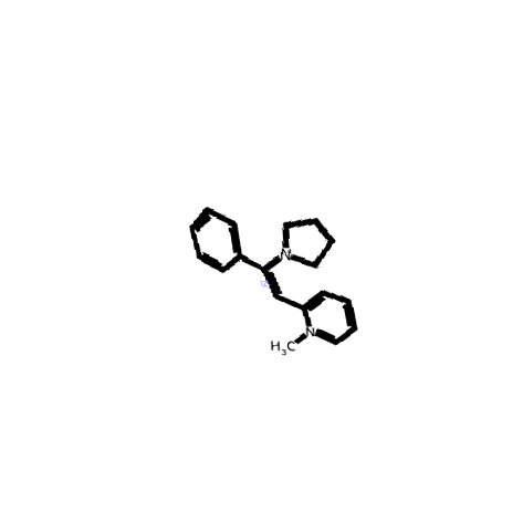 C[n+]1ccccc1/C=C(/c1ccccc1)N1CCCC1